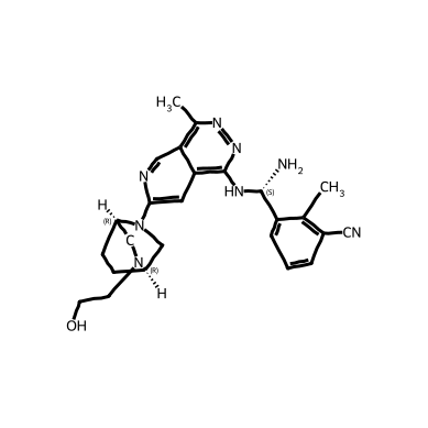 Cc1c(C#N)cccc1[C@@H](N)Nc1nnc(C)c2cnc(N3C[C@H]4CC[C@@H]3CN4CCO)cc12